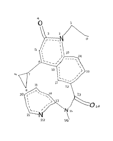 CCn1c(=O)cc(C2CC2)c2cc(C(=O)N(C)c3ccccn3)ccc21